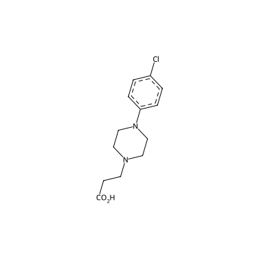 O=C(O)CCN1CCN(c2ccc(Cl)cc2)CC1